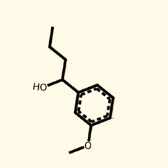 CCCC(O)c1cc[c]c(OC)c1